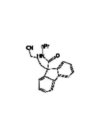 CCCNC(=O)C1(CCCC#N)c2ccccc2-c2ccccc21